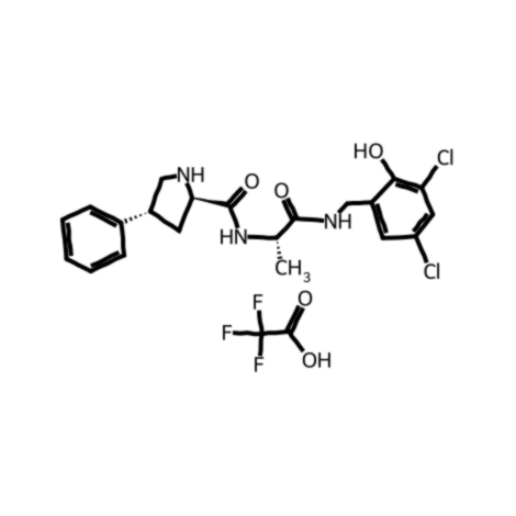 C[C@H](NC(=O)[C@H]1C[C@H](c2ccccc2)CN1)C(=O)NCc1cc(Cl)cc(Cl)c1O.O=C(O)C(F)(F)F